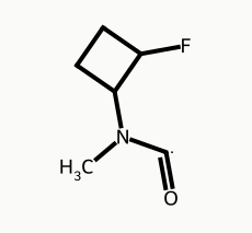 CN([C]=O)C1CCC1F